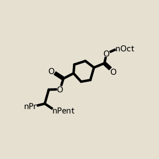 CCCCCCCCOC(=O)C1CCC(C(=O)OCC(CCC)CCCCC)CC1